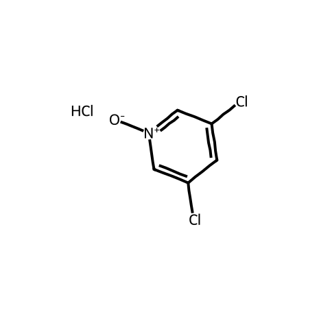 Cl.[O-][n+]1cc(Cl)cc(Cl)c1